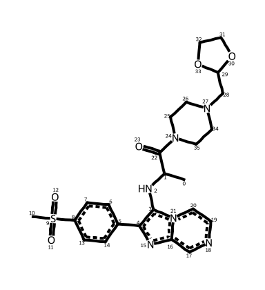 CC(Nc1c(-c2ccc(S(C)(=O)=O)cc2)nc2cnccn12)C(=O)N1CCN(CC2OCCO2)CC1